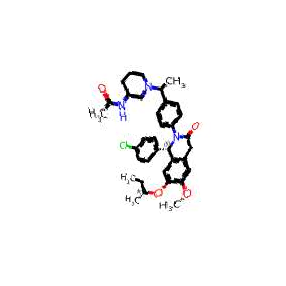 CC[C@@H](C)Oc1cc2c(cc1OC)CC(=O)N(c1ccc(C(C)N3CCCC(NC(C)=O)C3)cc1)[C@H]2c1ccc(Cl)cc1